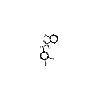 CCc1ccc(NS(=O)(=O)c2ccccc2Cl)cc1Cl